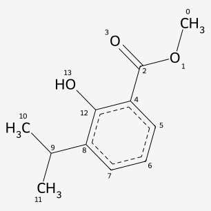 COC(=O)c1cccc(C(C)C)c1O